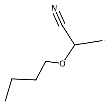 [CH2]C(C#N)OCCCC